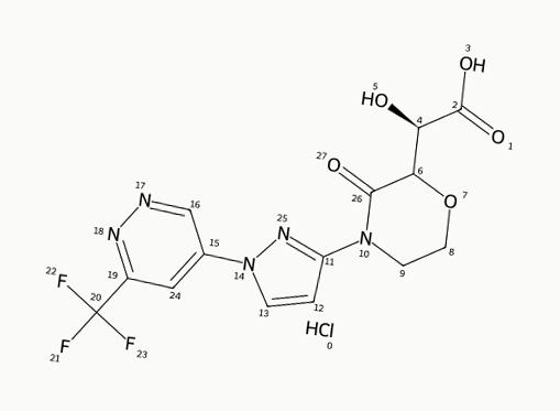 Cl.O=C(O)[C@H](O)C1OCCN(c2ccn(-c3cnnc(C(F)(F)F)c3)n2)C1=O